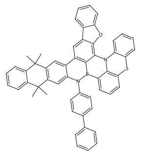 CC1(C)c2ccccc2C(C)(C)c2cc3c(cc21)-c1cc2c(oc4ccccc42)c2c1B(c1cccc4c1N2c1ccccc1S4)N3c1ccc(-c2ccccc2)cc1